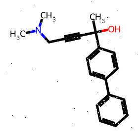 CN(C)CC#CC(C)(O)c1ccc(-c2ccccc2)cc1